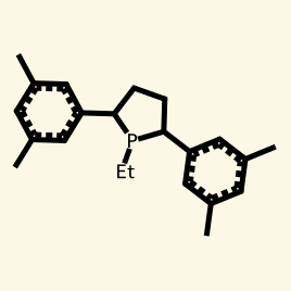 CCP1C(c2cc(C)cc(C)c2)CCC1c1cc(C)cc(C)c1